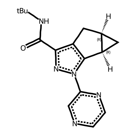 CC(C)(C)NC(=O)c1nn(-c2cnccn2)c2c1C[C@H]1C[C@@H]21